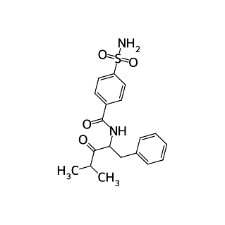 CC(C)C(=O)C(Cc1ccccc1)NC(=O)c1ccc(S(N)(=O)=O)cc1